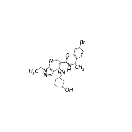 CCn1ncc2c(NC3CCCC(O)C3)c(C(=O)N[C@H](C)c3ccc(Br)cc3)cnc21